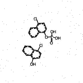 O=P(O)(O)Oc1ccc(Cl)c2ccccc12.Oc1ccc(Cl)c2ccccc12